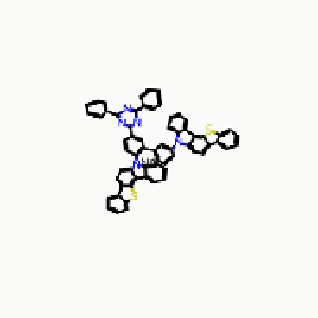 N#Cc1ccc(-n2c3ccccc3c3c4sc5ccccc5c4ccc32)cc1-c1cc(-c2nc(-c3ccccc3)nc(-c3ccccc3)n2)ccc1-n1c2ccccc2c2c3sc4ccccc4c3ccc21